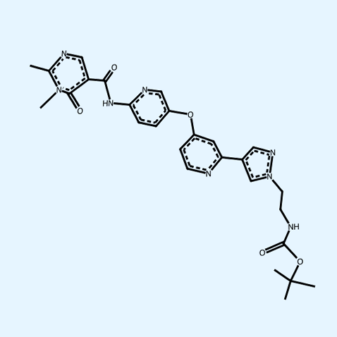 Cc1ncc(C(=O)Nc2ccc(Oc3ccnc(-c4cnn(CCNC(=O)OC(C)(C)C)c4)c3)cn2)c(=O)n1C